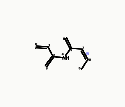 C=CC(=C)NC(=C)/C=C\C